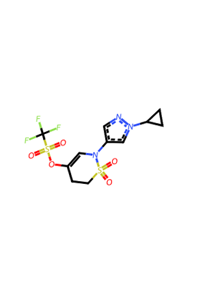 O=S1(=O)CCC(OS(=O)(=O)C(F)(F)F)=CN1c1cnn(C2CC2)c1